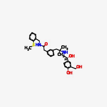 CSc1ccccc1CNC(=O)Cc1cccc(CC(C)(C)NC[C@H](O)c2ccc(O)c(CO)c2)c1